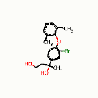 Cc1cccc(C)c1Oc1ccc(C(C)(O)CCO)cc1Br